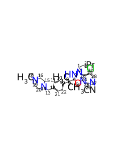 CC(C)CN(NC(=O)C(C)(C)c1ccc(CN2CCN(C)CC2)cc1)c1nc(C#N)ncc1Cl